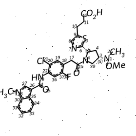 CON(C)[C@H]1C[C@@H](c2ncc(CCC(=O)O)s2)N(C(=O)Cc2cc(Cl)c(NC(=O)c3cn(C)c4ccccc34)cc2F)C1